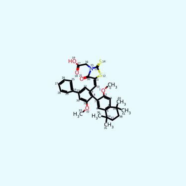 COc1cc2c(cc1-c1c(/C=C3/SC(=S)N(CC(=O)O)C3=O)cc(-c3ccccc3)cc1OC)C(C)(C)CCC2(C)C